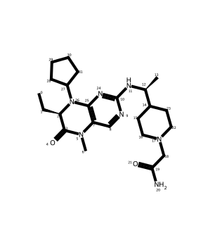 CC[C@@H]1C(=O)N(C)c2cnc(N[C@@H](C)C3CCN(CC(N)=O)CC3)nc2N1C1CCCC1